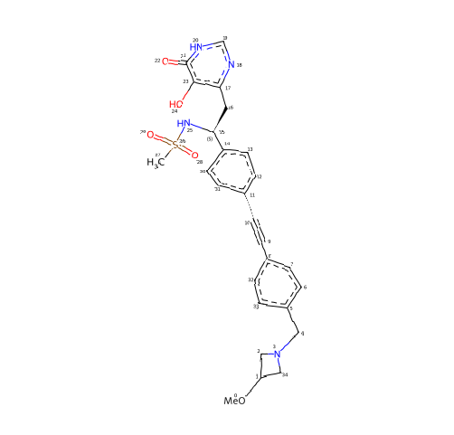 COC1CN(Cc2ccc(C#Cc3ccc([C@H](Cc4nc[nH]c(=O)c4O)NS(C)(=O)=O)cc3)cc2)C1